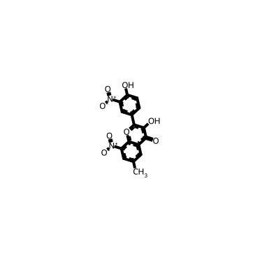 Cc1cc([N+](=O)[O-])c2oc(-c3ccc(O)c([N+](=O)[O-])c3)c(O)c(=O)c2c1